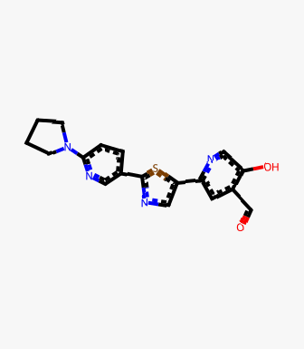 O=Cc1cc(-c2cnc(-c3ccc(N4CCCC4)nc3)s2)ncc1O